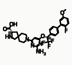 COc1ccc(F)c(-c2ccc([C@@H](Oc3cc(N4CCC5(CC4)CN[C@H](C(=O)O)C5)nc(N)n3)C(F)(F)F)cc2)c1